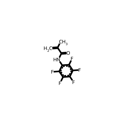 C=C(C)C(=O)Nc1c(F)c(F)c(F)c(F)c1F